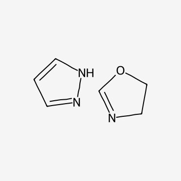 C1=NCCO1.c1cn[nH]c1